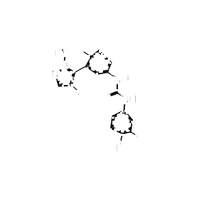 Cc1ccc(NC(=O)Nc2ccc(F)c(Cl)c2)cc1-c1c(Cl)cnn1C(C)C